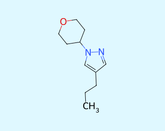 CCCc1cnn(C2CCOCC2)c1